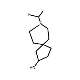 CC(I)N1CCC2(CCC(O)C2)CC1